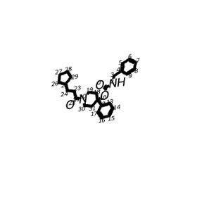 O=C(NCc1ccccc1)OC1(c2ccccc2)CCN(C(=O)CCC2CCCC2)CC1